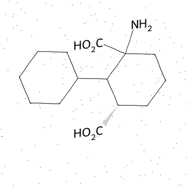 NC1(C(=O)O)CCC[C@H](C(=O)O)C1C1CCCCC1